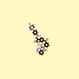 COc1cccc(OC)c1NC(=O)Nc1cccc(C(=O)c2ccc3c(c2)NC(=O)/C3=C/Nc2ccc(N3CCN(C)CC3)cc2)c1